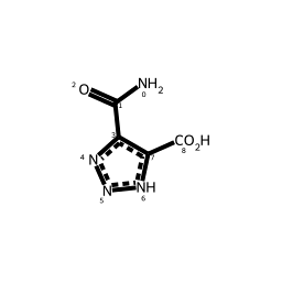 NC(=O)c1nn[nH]c1C(=O)O